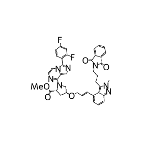 COC(=O)[C@@H]1C[C@H](OCC=Cc2cccc3nn(C)c(CCCN4C(=O)c5ccccc5C4=O)c23)CN1c1nccn2c(-c3ccc(F)cc3F)ncc12